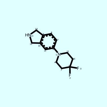 FC1(F)CCN(c2ccc3c(c2)CNC3)CC1